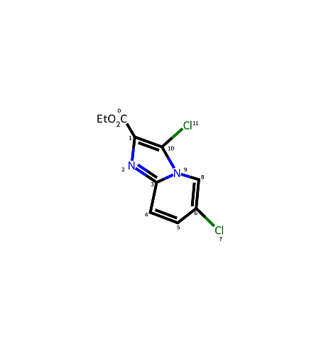 CCOC(=O)c1nc2ccc(Cl)cn2c1Cl